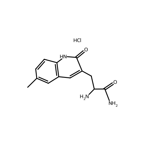 Cc1ccc2[nH]c(=O)c(CC(N)C(N)=O)cc2c1.Cl